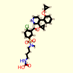 CN(CCCCNC(=O)O)S(=O)(=O)c1ccc(Cl)c(COC2(c3cnccc3-c3ccccc3OC3CC3)CC2)c1